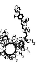 CC[C@H]1OC(=O)[C@H](C)[C@@H](O[C@H]2C[C@@](C)(OC)[C@@H](O)[C@H](C)O2)[C@H](C)[C@@H](O[C@@H]2O[C@H](C)C[C@H](N(C)CCc3cn(CC4CN(c5ccc(N6CCOCC6)c(F)c5)C(=O)O4)nn3)[C@H]2O)[C@](C)(O)C[C@@H](C)C(=O)[C@H](C)[C@@H](O)[C@]1(C)O